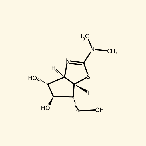 CN(C)C1=N[C@@H]2[C@@H](O)[C@H](O)[C@@H](CO)[C@H]2S1